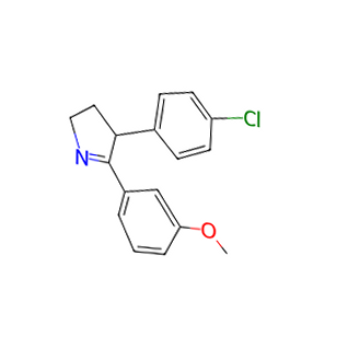 COc1cccc(C2=NCCC2c2ccc(Cl)cc2)c1